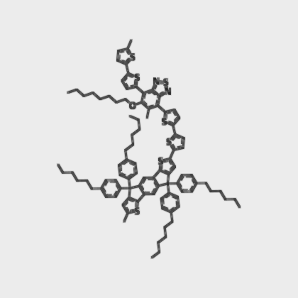 CCCCCCCCOc1c(C)c(-c2ccc(-c3ccc(-c4cc5c(s4)-c4cc6c(cc4C5(c4ccc(CCCCCC)cc4)c4ccc(CCCCCC)cc4)-c4sc(C)cc4C6(c4ccc(CCCCCC)cc4)c4ccc(CCCCCC)cc4)s3)s2)c2nsnc2c1-c1ccc(-c2ccc(C)s2)s1